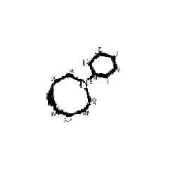 [CH]1CCCC(N2CCCCCCC2)C1